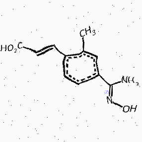 Cc1cc(/C(N)=N/O)ccc1C=CC(=O)O